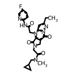 CCc1cc2n(CC(=O)Nc3ccc(F)cn3)c3c(c(=O)n2n1)CN(CC(=O)N(C)CC1CC1)C3=O